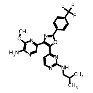 COc1nc(-c2nc(-c3ccc(C(F)(F)F)cc3)oc2-c2ccnc(NCC(C)C)n2)cnc1N